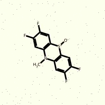 CN1c2cc(F)c(F)cc2[S+]([O-])c2cc(F)c(F)cc21